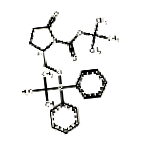 CC(C)(C)OC(=O)N1C(=O)CC[C@@H]1CO[Si](c1ccccc1)(c1ccccc1)C(C)(C)C